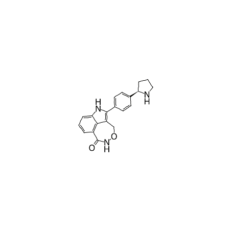 O=C1NOCc2c(-c3ccc([C@H]4CCCN4)cc3)[nH]c3cccc1c23